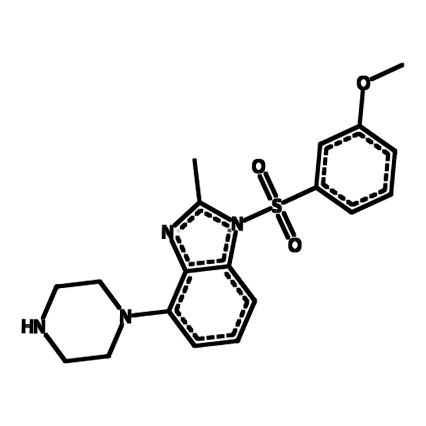 COc1cccc(S(=O)(=O)n2c(C)nc3c(N4CCNCC4)cccc32)c1